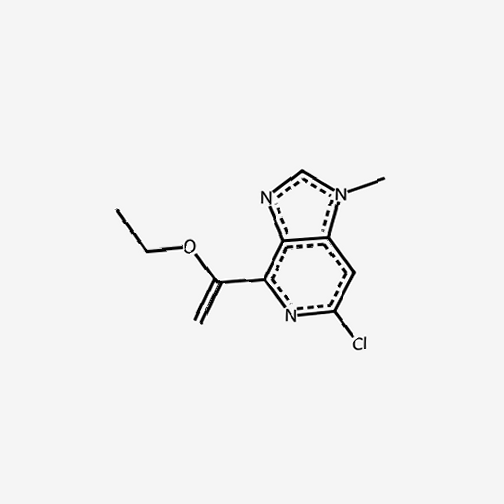 C=C(OCC)c1nc(Cl)cc2c1ncn2C